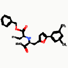 COC(=O)[C@H](Cc1ccc(-c2cc(C)cc(C)c2)o1)N[C@@H](CC(C)C)C(=O)OCc1ccccc1